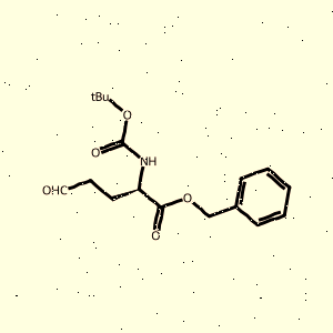 CC(C)(C)OC(=O)N[C@H](CCC=O)C(=O)OCc1ccccc1